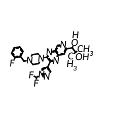 CC(C)(O)C(O)c1cc2nc(-c3cnn(C(F)F)c3)c(N3CCN(Cc4ccccc4F)CC3)nc2cn1